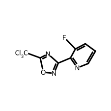 Fc1cccnc1-c1noc(C(Cl)(Cl)Cl)n1